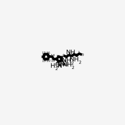 CCCCC(N)C(N)CC[C@H]1CC(CCc2ccccc2)C(=O)C1(N)N(N)N